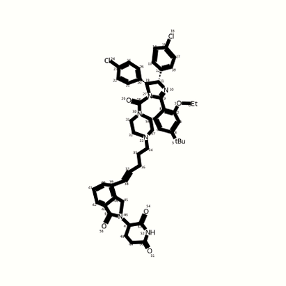 CCOc1cc(C(C)(C)C)ccc1C1=N[C@@H](c2ccc(Cl)cc2)[C@@H](c2ccc(Cl)cc2)N1C(=O)N1CCN(CCCC#Cc2cccc3c2CN(C2CCC(=O)NC2=O)C3=O)CC1